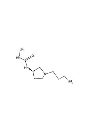 CC(C)(C)NC(=O)N[C@@H]1CCN(CCCN)C1